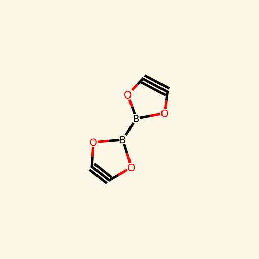 C1#COB(B2OC#CO2)O1